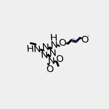 CCNc1nc(NCOC/C=C/COC)nc(N(COC)C(C)=O)n1